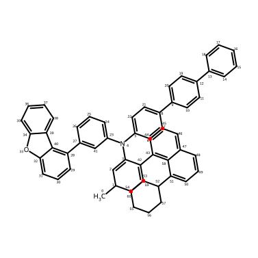 CC1C=C(N(c2ccc(-c3ccc(-c4ccccc4)cc3)cc2)c2cccc(-c3cccc4oc5ccccc5c34)c2)C(c2cccc3cccc(C4CCCCC4)c23)=CC1